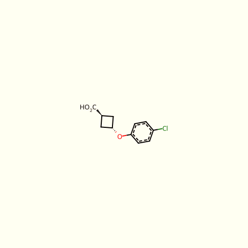 O=C(O)[C@H]1C[C@H](Oc2ccc(Cl)cc2)C1